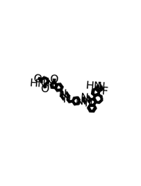 O=C1CC[C@H](N2Cc3cc(N4CCN(CC5CCN(c6cnc(C7=C(c8ccccc8)CCCc8c7ccc7[nH]nc(F)c87)cn6)CC5)CC4)ccc3C2=O)C(=O)N1